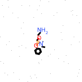 CCN(C)P(COCCN)Oc1ccccc1